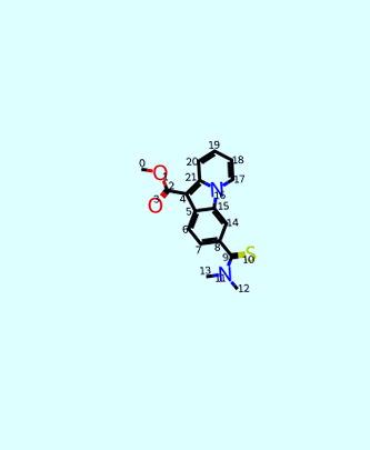 COC(=O)c1c2ccc(C(=S)N(C)C)cc2n2ccccc12